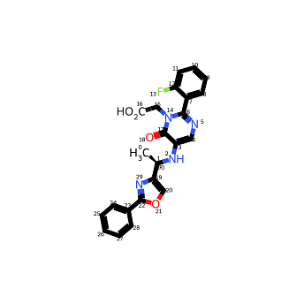 C[C@@H](Nc1cnc(-c2ccccc2F)n(CC(=O)O)c1=O)c1coc(-c2ccccc2)n1